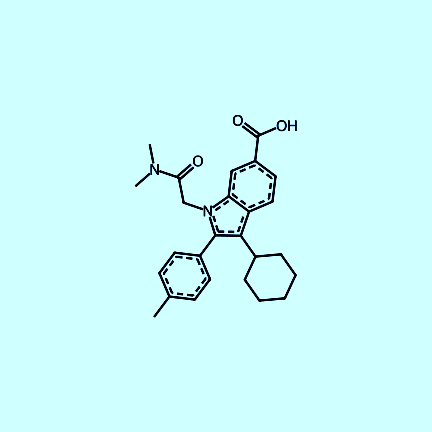 Cc1ccc(-c2c(C3CCCCC3)c3ccc(C(=O)O)cc3n2CC(=O)N(C)C)cc1